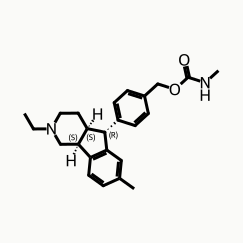 CCN1CC[C@H]2[C@H](c3ccc(COC(=O)NC)cc3)c3cc(C)ccc3[C@H]2C1